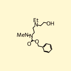 CCN(CCO)CCN(NC)C(=O)OCc1ccccc1